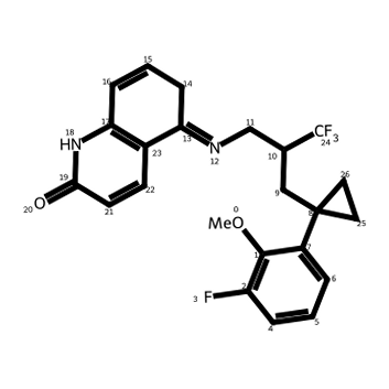 COc1c(F)cccc1C1(CC(CN=C2CC=Cc3[nH]c(=O)ccc32)C(F)(F)F)CC1